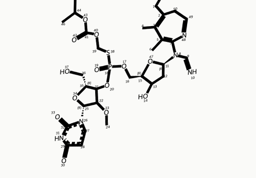 CCC1=C(C)C(C)=C(N(C=N)[C@H]2CC(O)[C@@H](COP(=O)(OC3C(OC)[C@H](n4ccc(=O)[nH]c4=O)O[C@@H]3CO)SCOC(=O)OC(C)C)O2)N=CC1